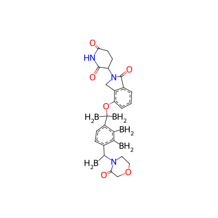 Bc1c(C(B)N2CCOCC2=O)ccc(C(B)(B)Oc2cccc3c2CN(C2CCC(=O)NC2=O)C3=O)c1B